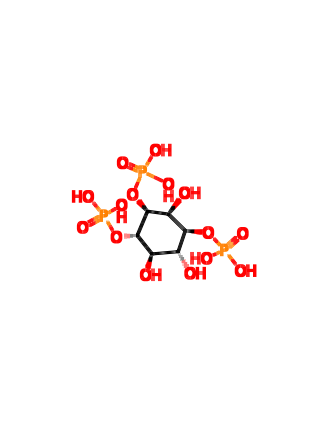 O=P(O)(O)O[C@H]1[C@H](O)[C@@H](O)[C@H](OP(=O)(O)O)[C@@H](OP(=O)(O)O)[C@H]1O